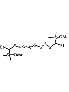 CCC(SSSSSSSSC(CC)[Si](C)(C)OC)[Si](C)(C)OC